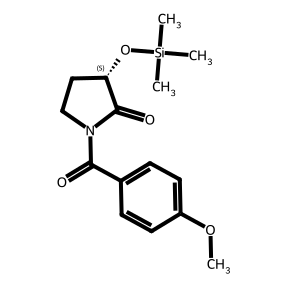 COc1ccc(C(=O)N2CC[C@H](O[Si](C)(C)C)C2=O)cc1